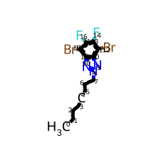 CCCCCCCCn1nc2c(Br)c(F)c(F)c(Br)c2n1